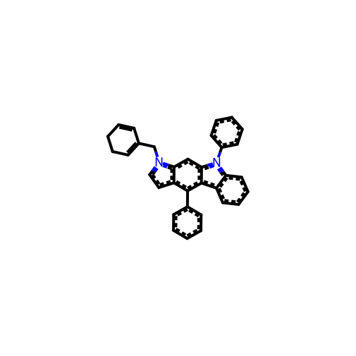 C1=CC(Cn2ccc3c(-c4ccccc4)c4c5ccccc5n(-c5ccccc5)c4cc32)=CCC1